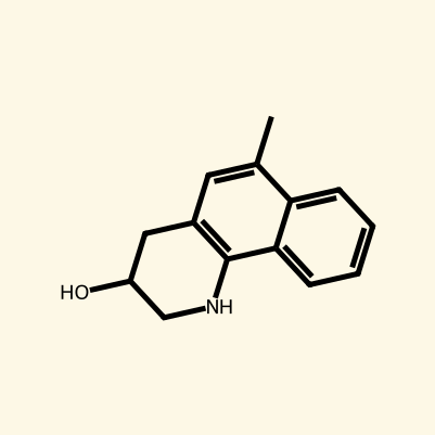 Cc1cc2c(c3ccccc13)NCC(O)C2